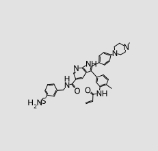 C=CC(=O)Nc1cc(-c2c(-c3ccc(N4CCN(C)CC4)cc3)[nH]c3ncc(C(=O)NCc4cccc(SN)c4)cc23)ccc1C